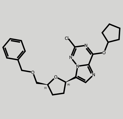 Clc1nc(OC2CCCC2)c2ncc([C@H]3CC[C@@H](COCc4ccccc4)O3)n2n1